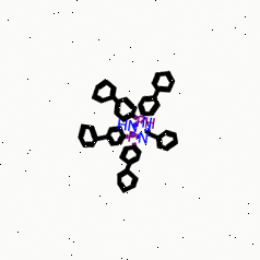 c1ccc(C2=N[PH](c3ccc(-c4ccccc4)cc3)(c3ccc(-c4ccccc4)cc3)NP(c3ccc(-c4ccccc4)cc3)(c3ccc(-c4ccccc4)cc3)=N2)cc1